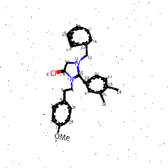 COc1ccc(CCN2C(=O)CN(Cc3ccccc3)C2c2ccc(C)c(C)c2)cc1